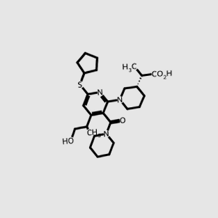 CC(CO)c1cc(SC2CCCC2)nc(N2CCC[C@@H](C(C)C(=O)O)C2)c1C(=O)N1CCCCC1